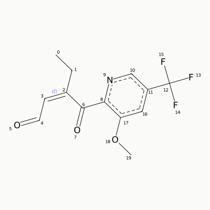 CC/C(=C/C=O)C(=O)c1ncc(C(F)(F)F)cc1OC